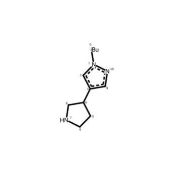 CCC(C)n1cc(C2CCNC2)cn1